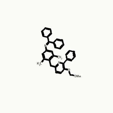 COCOc1ccc(Cc2c(C)cc(N=C(c3ccccc3)c3ccccc3)cc2C)nc1-c1ccccc1